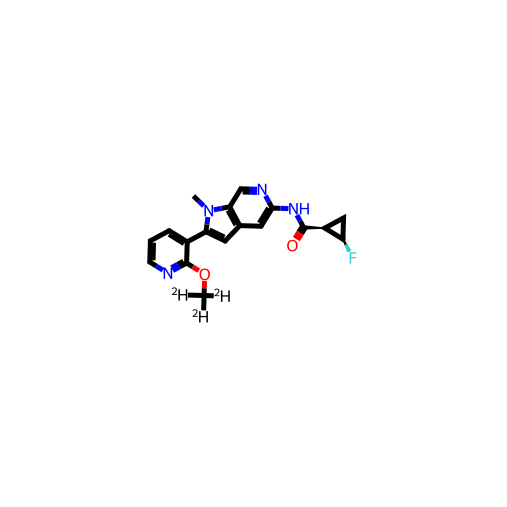 [2H]C([2H])([2H])Oc1ncccc1-c1cc2cc(NC(=O)[C@H]3C[C@H]3F)ncc2n1C